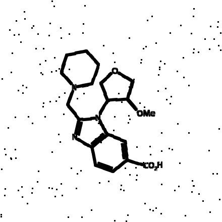 COC1COCC1n1c(CN2CCCCC2)nc2ccc(C(=O)O)cc21